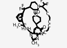 Cc1nc2c3cc(C4CCS(=O)(=O)CC4)c(=O)n(c3n1)CCCCCCCC(C(F)F)N1CCC(CC1)C(F)(F)c1cccc(c1F)[C@@H](C)N2